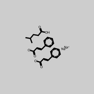 CC(C)CCC(=O)O.O=C([O-])C=Cc1ccccc1.O=C([O-])C=Cc1ccccc1.[Na+].[Na+]